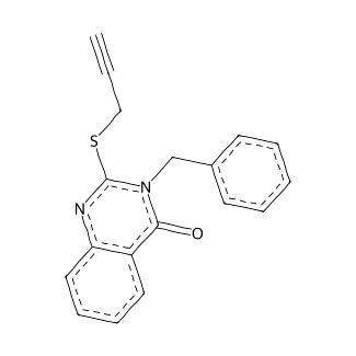 C#CCSc1nc2ccccc2c(=O)n1Cc1ccccc1